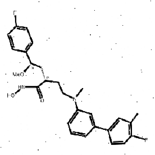 CO[C@H](C[C@H](CCN(C)c1cccc(-c2ccc(F)c(C)c2)c1)C(=O)NO)c1ccc(F)cc1